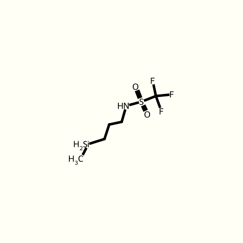 C[SiH2]CCCNS(=O)(=O)C(F)(F)F